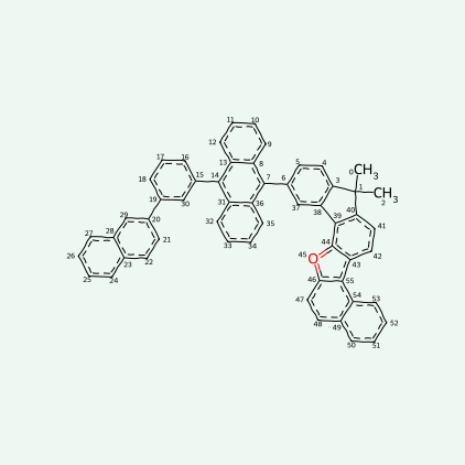 CC1(C)c2ccc(-c3c4ccccc4c(-c4cccc(-c5ccc6ccccc6c5)c4)c4ccccc34)cc2-c2c1ccc1c2oc2ccc3ccccc3c21